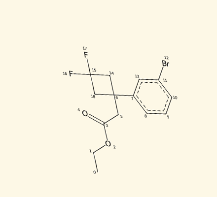 CCOC(=O)CC1(c2cccc(Br)c2)CC(F)(F)C1